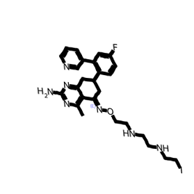 Cc1nc(N)nc2c1/C(=N/OCCNCCNCCI)CC(c1ccc(F)cc1-c1cccnc1)C2